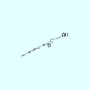 CCCCCC=CCC=CCCCCCCCCC(=O)CCCCCCCCCCO